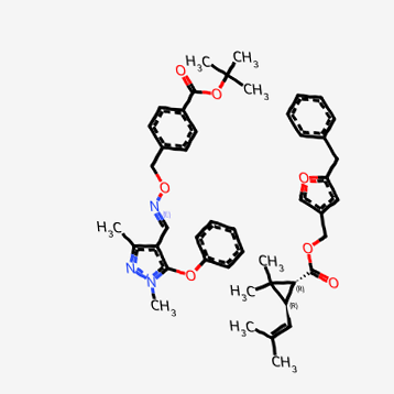 CC(C)=C[C@@H]1[C@@H](C(=O)OCc2coc(Cc3ccccc3)c2)C1(C)C.Cc1nn(C)c(Oc2ccccc2)c1/C=N/OCc1ccc(C(=O)OC(C)(C)C)cc1